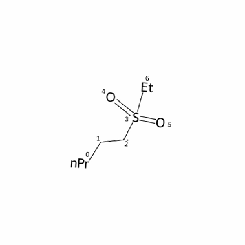 CCCC[CH]S(=O)(=O)CC